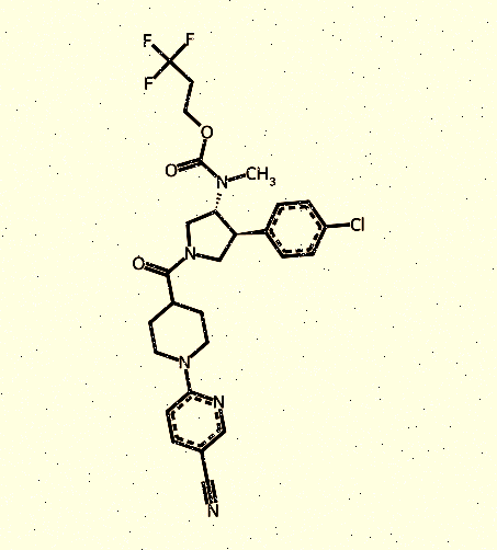 CN(C(=O)OCCC(F)(F)F)[C@H]1CN(C(=O)C2CCN(c3ccc(C#N)cn3)CC2)C[C@@H]1c1ccc(Cl)cc1